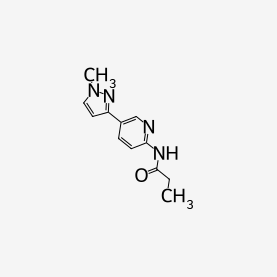 CCC(=O)Nc1ccc(-c2ccn(C)n2)cn1